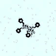 O=P(O)(O)OP(=O)(OCc1ccccc1)OP(=O)(OCc1ccccc1)OP(=O)(OCc1ccccc1)OCc1ccccc1